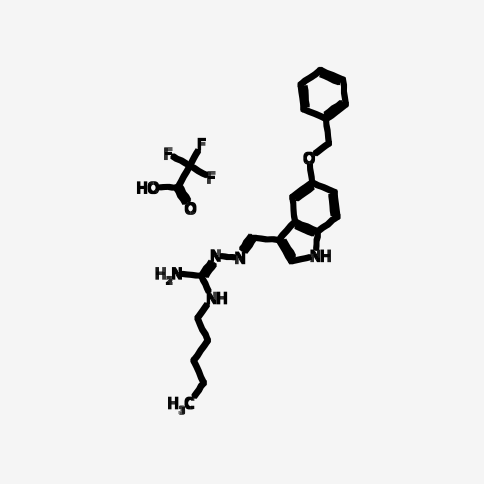 CCCCCNC(N)=NN=Cc1c[nH]c2ccc(OCc3ccccc3)cc12.O=C(O)C(F)(F)F